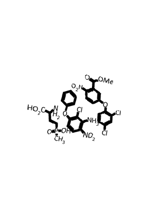 COC(=O)c1cc(Oc2ccc(Cl)cc2Cl)ccc1[N+](=O)[O-].CP(=O)(O)CCC(N)C(=O)O.Nc1c([N+](=O)[O-])ccc(Oc2ccccc2)c1Cl